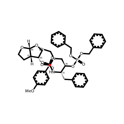 COc1ccc(S(=O)(=O)N(CC(C)C)C[C@@H](OP(=O)(OCc2ccccc2)OCc2ccccc2)[C@H](Cc2ccccc2)NC(=O)O[C@H]2CO[C@H]3OCC[C@H]32)cc1